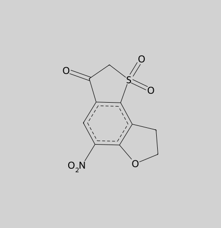 O=C1CS(=O)(=O)c2c1cc([N+](=O)[O-])c1c2CCO1